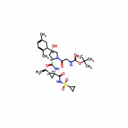 C=C[C@@H]1C[C@]1(NC(=O)[C@@H]1C[C@@](O)(C2CC(C)=CC=C2C)CN1C(=O)CNC(=O)OC(C)(C)C)C(=O)NS(=O)(=O)C1CC1